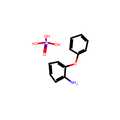 Nc1ccccc1Oc1ccccc1.O=P(O)(O)O